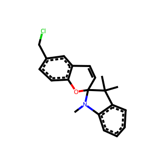 CN1c2ccccc2C(C)(C)C12C=Cc1cc(CCl)ccc1O2